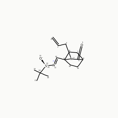 C=CCN1C(=O)C2CCC1(/C=N/[S@+]([O-])C(C)(C)C)CC2